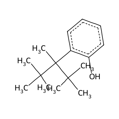 CC(C)(C)C(C)(c1ccccc1O)C(C)(C)C